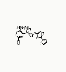 Clc1ccc2c(c1)N(OCc1coc(-c3cccs3)n1)NN2